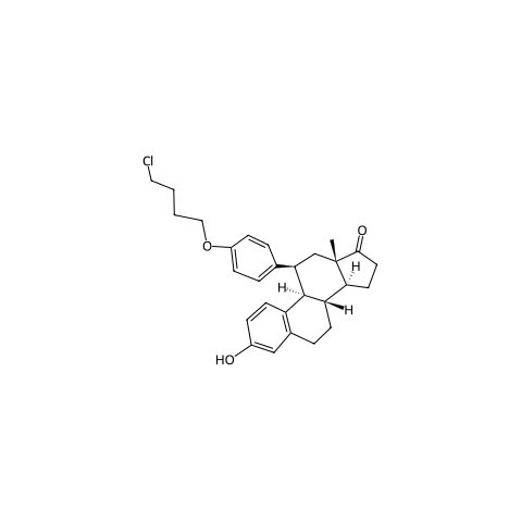 C[C@]12C[C@H](c3ccc(OCCCCCl)cc3)[C@@H]3c4ccc(O)cc4CC[C@H]3[C@@H]1CCC2=O